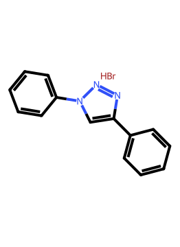 Br.c1ccc(-c2cn(-c3ccccc3)nn2)cc1